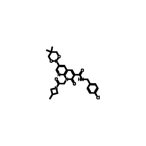 CC1CN(C(=O)Cn2c(=O)c(C(=O)NCc3ccc(Cl)cc3)cc3cc(B4OCC(C)(C)CO4)cnc32)C1